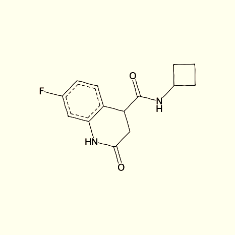 O=C1CC(C(=O)NC2CCC2)c2ccc(F)cc2N1